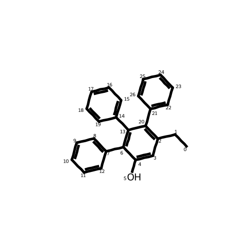 CCc1cc(O)c(-c2ccccc2)c(-c2ccccc2)c1-c1ccccc1